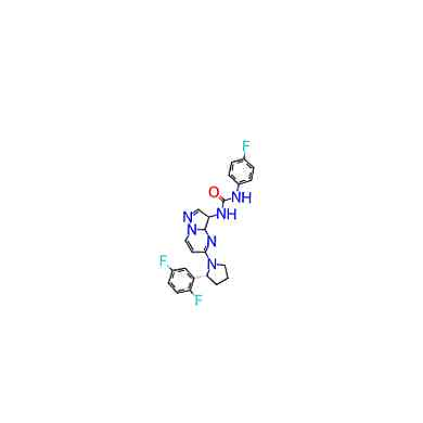 O=C(Nc1ccc(F)cc1)NC1C=NN2C=CC(N3CCC[C@@H]3c3cc(F)ccc3F)=NC12